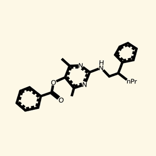 CCCC(CNc1nc(C)c(OC(=O)c2ccccc2)c(C)n1)c1ccccc1